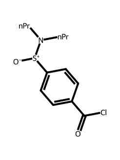 CCCN(CCC)[S+]([O-])c1ccc(C(=O)Cl)cc1